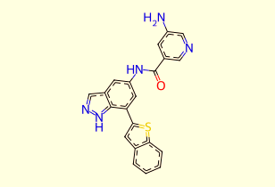 Nc1cncc(C(=O)Nc2cc(-c3cc4ccccc4s3)c3[nH]ncc3c2)c1